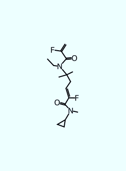 C=C(F)C(=O)N(CC)C(C)(C)CC=C(F)C(=O)N(C)C1CC1